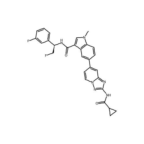 Cn1cc(C(=O)N[C@@H](CF)c2cccc(F)c2)c2cc(-c3ccn4nc(NC(=O)C5CC5)nc4c3)ccc21